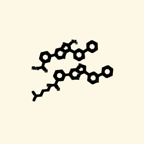 CN(C)CCCNC(=O)c1cccc(-c2cnn3c(-c4ccnc(-c5ccccc5)c4)cnc3c2)c1.CNC(=O)c1cccc(-c2cnn3c(-c4ccnc(-c5ccccc5)c4)c(N)nc3c2)c1